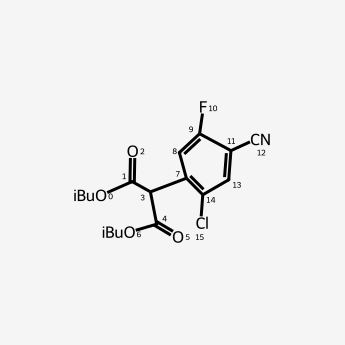 CC(C)COC(=O)C(C(=O)OCC(C)C)c1cc(F)c(C#N)cc1Cl